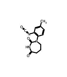 Cc1ccc(N2CCCC(=O)NC2=O)c(N=C=O)c1